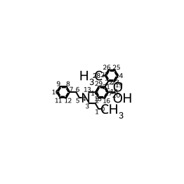 CCCCN(CCc1ccccc1)Cc1ccc(C(=O)O)c(-c2ccccc2C)c1